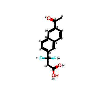 CC(=O)c1ccc2cc(C(F)(F)CC(=O)O)ccc2c1